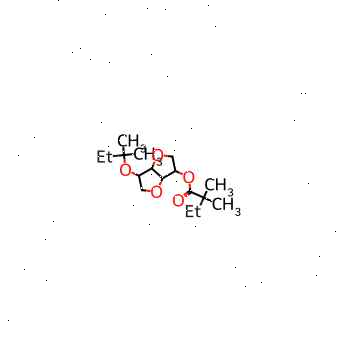 CCC(C)(C)OC1COC2C(OC(=O)C(C)(C)CC)COC12